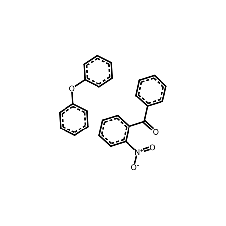 O=C(c1ccccc1)c1ccccc1[N+](=O)[O-].c1ccc(Oc2ccccc2)cc1